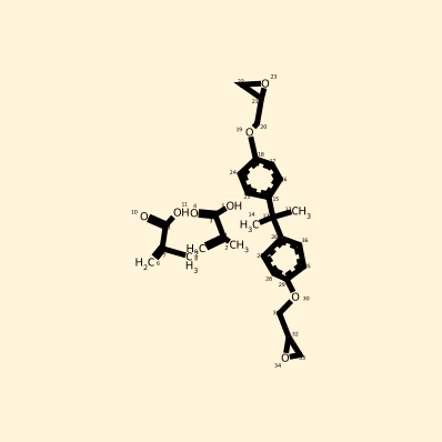 C=C(C)C(=O)O.C=C(C)C(=O)O.CC(C)(c1ccc(OCC2CO2)cc1)c1ccc(OCC2CO2)cc1